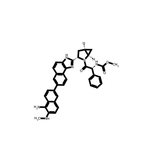 CNc1ccc2cc(-c3ccc4c(ccc5[nH]c([C@@H]6C[C@H]7C[C@H]7N6C(=O)[C@H](NC(=O)OC)c6ccccc6)nc54)c3)ccc2c1N